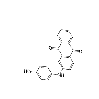 O=C1c2ccccc2C(=O)c2cc(Nc3ccc(O)cc3)ccc21